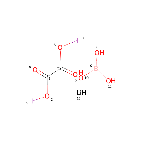 O=C(OI)C(=O)OI.OB(O)O.[LiH]